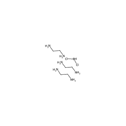 ClBCl.NCCN.NCCN.NCCN